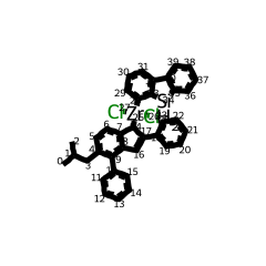 CC(C)Cc1ccc2c(c1-c1ccccc1)C=C(c1ccccc1)[CH]2[Zr]([Cl])([Cl])[c]1cccc2c1[SiH2]c1ccccc1-2